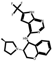 C[C@@H]1CCN([C@H]2COc3ccccc3[C@@H]2Nc2ncnc3[nH]c(C(F)(F)F)cc23)C1